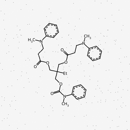 CCC(COC(=O)CCN(C)c1ccccc1)(COC(=O)CCN(C)c1ccccc1)COC(=O)N(C)c1ccccc1